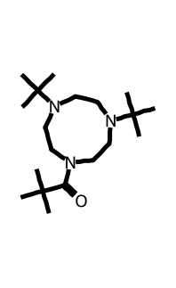 CC(C)(C)C(=O)N1CCN(C(C)(C)C)CCN(C(C)(C)C)CC1